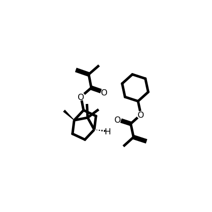 C=C(C)C(=O)OC1CCCCC1.C=C(C)C(=O)OC1C[C@H]2CC[C@@]1(C)C2(C)C